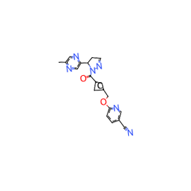 Cc1cnc(C2CC=NN2C(=O)C23CC(COc4ccc(C#N)cn4)(C2)C3)cn1